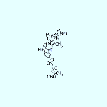 CCN(CC)CCNC(=O)c1c(C)[nH]c(/C=C2\C(=O)Nc3ccc(OC(=O)CCC(=O)O[C@@H](C)C=O)cc32)c1C